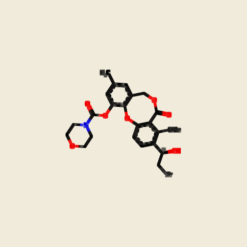 COc1c([C@@H](O)CC(C)C)ccc2c1C(=O)OCc1cc(C)cc(OC(=O)N3CCOCC3)c1O2